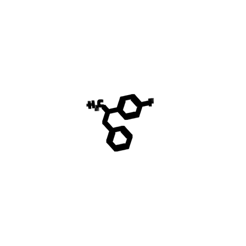 [CH2]C(Cc1ccccc1)c1ccc(F)cc1